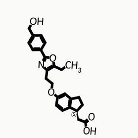 CCc1oc(-c2ccc(CO)cc2)nc1CCOc1ccc2c(c1)CC[C@H]2CC(=O)O